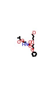 C=C(C)C(=O)OCCNC(=O)OC(COCCCCOC)COc1ccccc1